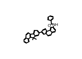 CC1(C)c2cc(-c3ccc4c(ccc5ccc6c(c54)OC(c4ccccc4)N6)c3)ccc2-c2ccc3ccccc3c21